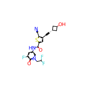 N#Cc1sc(C(=O)Nc2cc(F)c(=O)n(CC(F)F)c2)cc1C#C[C@H]1C[C@H](O)C1